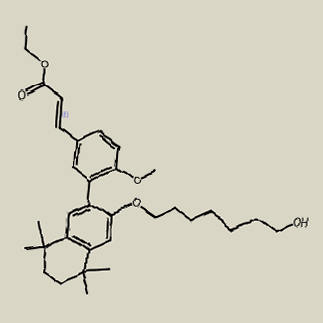 CCOC(=O)/C=C/c1ccc(OC)c(-c2cc3c(cc2OCCCCCCCO)C(C)(C)CCC3(C)C)c1